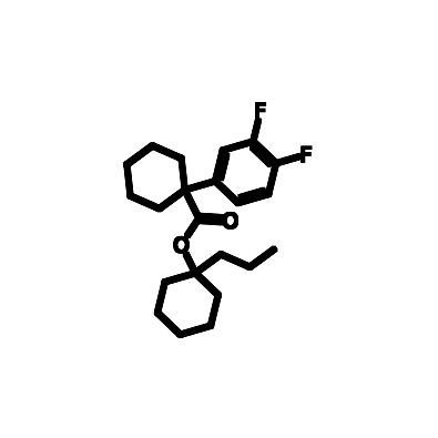 CCCC1(OC(=O)C2(c3ccc(F)c(F)c3)CCCCC2)CCCCC1